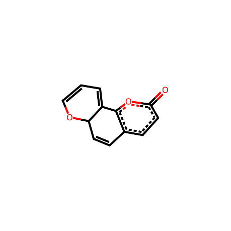 O=c1ccc2c(o1)C1=CC=COC1C=C2